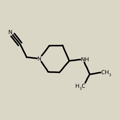 CC(C)NC1CCN(CC#N)CC1